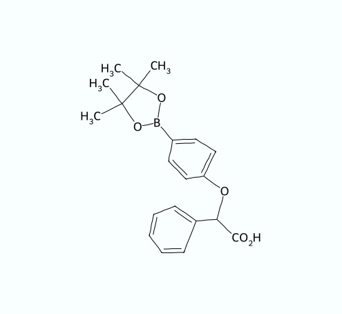 CC1(C)OB(c2ccc(OC(C(=O)O)c3ccccc3)cc2)OC1(C)C